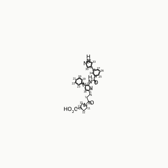 O=C(Nc1nc(CCC(=O)N2CC[C@H](C(=O)O)C2)cn1-c1ccccc1)c1cccc(-c2cn[nH]c2)c1